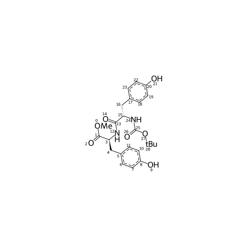 COC(=O)[C@H](Cc1ccc(O)cc1)NC(=O)[C@H](Cc1ccc(O)cc1)NC(=O)OC(C)(C)C